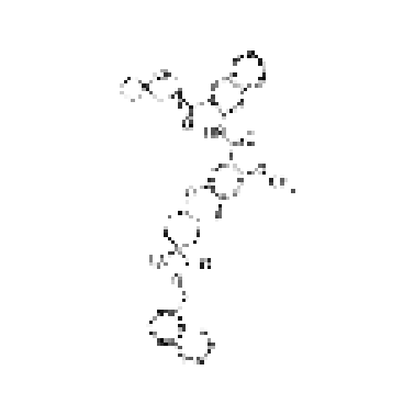 COc1cc(F)c(O[C@H]2CC[C@@](C)(C(=O)OCc3cccc4ccccc34)CC2)cc1C(=O)Nc1cc2ccccc2cc1C(=O)NCC1(C)CCC1